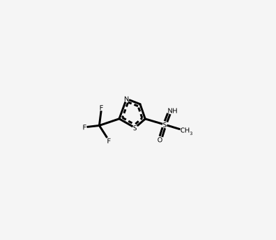 CS(=N)(=O)c1cnc(C(F)(F)F)s1